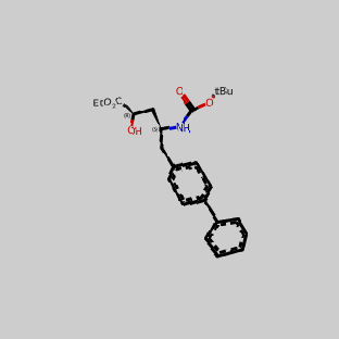 CCOC(=O)[C@H](O)C[C@H](Cc1ccc(-c2ccccc2)cc1)NC(=O)OC(C)(C)C